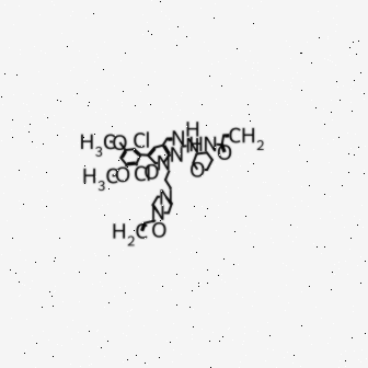 C=CC(=O)NC1CCOCC1Nc1ncc2cc(-c3c(Cl)c(OC)cc(OC)c3Cl)c(=O)n(CCCN3CCN(C(=O)C=C)CC3)c2n1